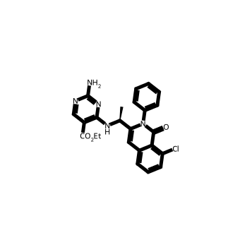 CCOC(=O)c1cnc(N)nc1N[C@@H](C)c1cc2cccc(Cl)c2c(=O)n1-c1ccccc1